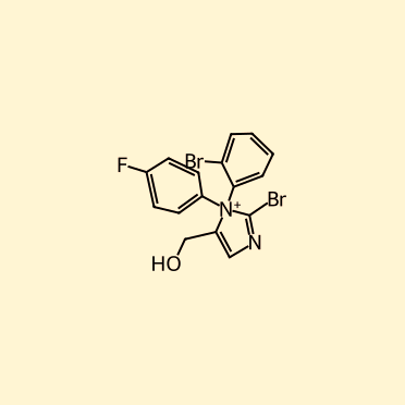 OCC1=CN=C(Br)[N+]1(c1ccc(F)cc1)c1ccccc1Br